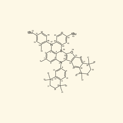 Cc1cc2c3c(c1)N(c1ccc4c(c1)C(C)(C)CCC4(C)C)c1c(oc4cc5c(cc14)C(C)(C)CCC5(C)C)B3c1cc(C(C)(C)C)ccc1N2c1ccc(C(C)(C)C)cc1C